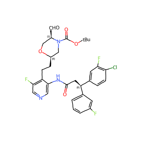 CC(C)(C)OC(=O)N1C[C@@H](CCc2c(F)cncc2NC(=O)C[C@H](c2cccc(F)c2)c2ccc(Cl)c(F)c2)OC[C@H]1C=O